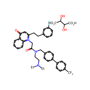 CCN(CC)CCN(Cc1ccc(-c2ccc(C(F)(F)F)cc2)cc1)C(=O)Cn1c(CCc2cccc(F)c2)cc(=O)c2ccccc21.O=C(O)C(O)C(O)C(=O)O